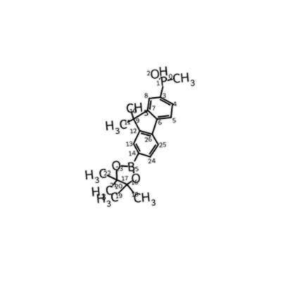 C[PH](=O)c1ccc2c(c1)C(C)(C)c1cc(B3OC(C)(C)C(C)(C)O3)ccc1-2